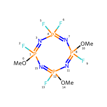 COP1(F)=NP(F)(F)=NP(F)(OC)=NP(F)(OC)=N1